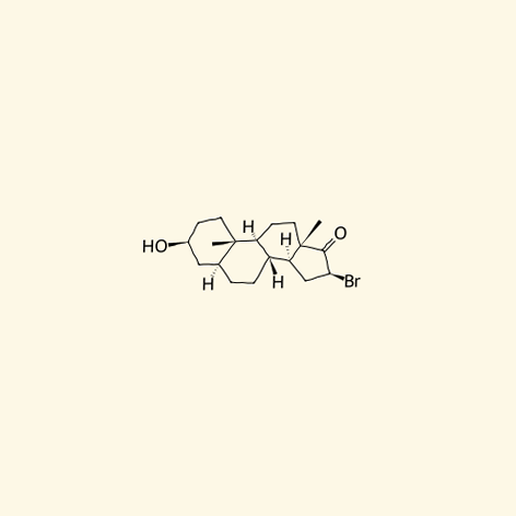 C[C@]12CC[C@H](O)C[C@@H]1CC[C@@H]1[C@@H]2CC[C@]2(C)C(=O)[C@@H](Br)C[C@@H]12